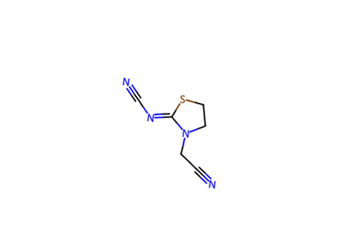 N#CCN1CCSC1=NC#N